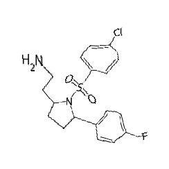 NCCC1CCC(c2ccc(F)cc2)N1S(=O)(=O)c1ccc(Cl)cc1